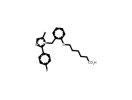 Cc1cnc(-c2ccc(F)cc2)n1Cc1ccccc1OCCCCCC(=O)O